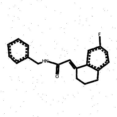 O=C(/C=C1\CCCc2ccc(F)cc21)NCc1ccccc1